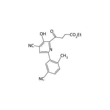 CCOC(=O)CCC(=O)c1nc(-c2cc(C#N)ccc2C)cc(C#N)c1O